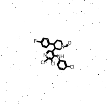 O=CN1CCC(c2ccc(F)cc2)C(c2cnc(Cl)c(Cl)c2Nc2cccc(Cl)c2)C1